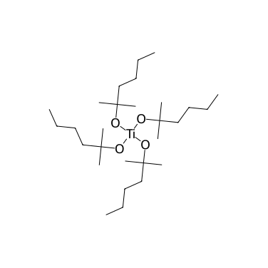 CCCCC(C)(C)[O][Ti]([O]C(C)(C)CCCC)([O]C(C)(C)CCCC)[O]C(C)(C)CCCC